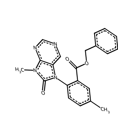 Cc1ccc(-n2c(=O)n(C)c3ncncc32)c(C(=O)OCc2ccccc2)c1